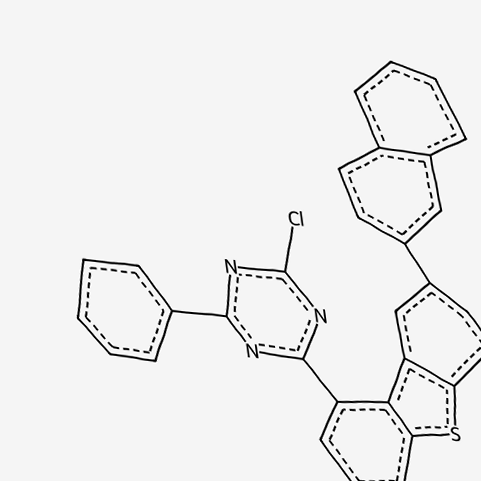 Clc1nc(-c2ccccc2)nc(-c2cccc3sc4ccc(-c5ccc6ccccc6c5)cc4c23)n1